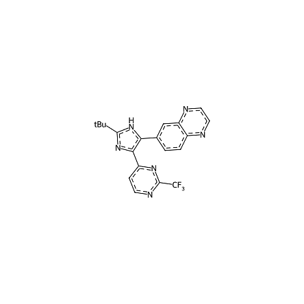 CC(C)(C)c1nc(-c2ccnc(C(F)(F)F)n2)c(-c2ccc3nccnc3c2)[nH]1